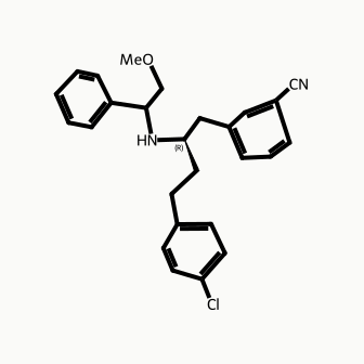 COCC(N[C@H](CCc1ccc(Cl)cc1)Cc1cccc(C#N)c1)c1ccccc1